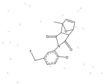 CC12C=CC(O1)C1C(=O)N(c3cc(CF)ccc3Cl)C(=O)C12